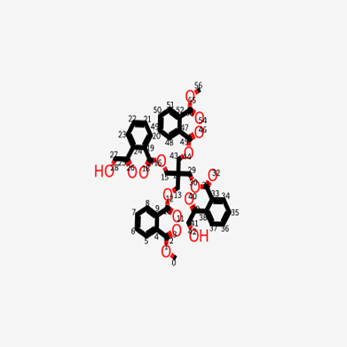 COC(=O)c1ccccc1C(=O)OCC(COC(=O)c1ccccc1C(=O)CO)(COC(=O)c1ccccc1C(=O)CO)COC(=O)c1ccccc1C(=O)OC